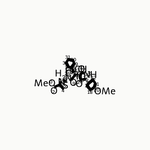 COC(=O)c1csc(NC(=O)[C@@H](N2C(=O)N[C@H](c3ccc(OC)cc3)C2=O)C(C)(C)c2ccccc2)n1